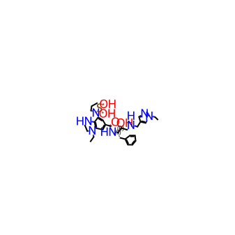 CCN1CCNc2c1cc(C(=O)N[C@@H](Cc1ccccc1)[C@H](O)CNCc1cnn(CC)c1)cc2N1CCCS1(O)O